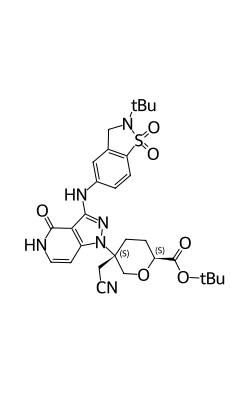 CC(C)(C)OC(=O)[C@@H]1CC[C@@](CC#N)(n2nc(Nc3ccc4c(c3)CN(C(C)(C)C)S4(=O)=O)c3c(=O)[nH]ccc32)CO1